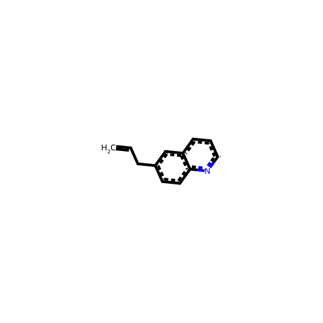 C=CCc1ccc2n[c]ccc2c1